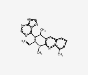 C=CCN(C)c1nc2c(C)cccc2cc1C(C)Nc1ncnc2[nH]cnc12